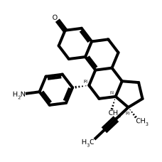 CC#C[C@]1(C)CCC2C3CCC4=CC(=O)CCC4=C3[C@@H](c3ccc(N)cc3)C[C@@]21C